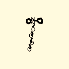 COCCOCCOCCOCCn1c(-c2ccccc2)nc2ccccc21